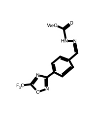 COC(=O)N/N=C\c1ccc(-c2noc(C(F)(F)F)n2)cc1